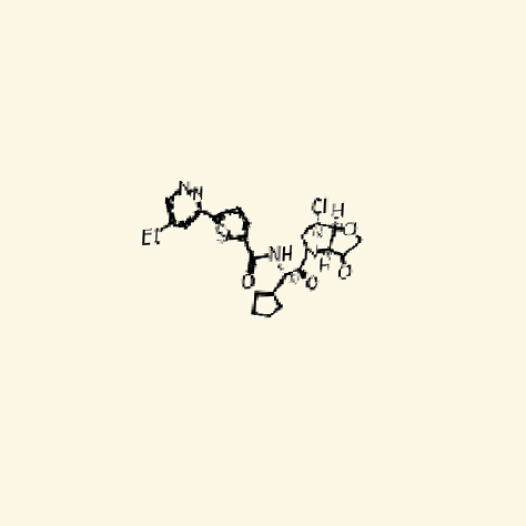 CCc1cnnc(-c2ccc(C(=O)N[C@H](C(=O)N3C[C@H](Cl)[C@H]4OCC(=O)[C@H]43)C3CCCC3)s2)c1